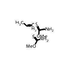 C=CC.COC(N)=S.COC(N)=S